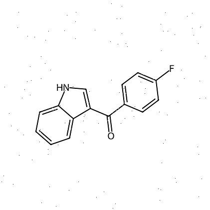 O=C(c1ccc(F)cc1)c1c[nH]c2ccccc12